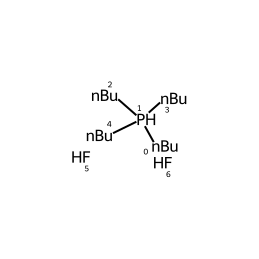 CCCC[PH](CCCC)(CCCC)CCCC.F.F